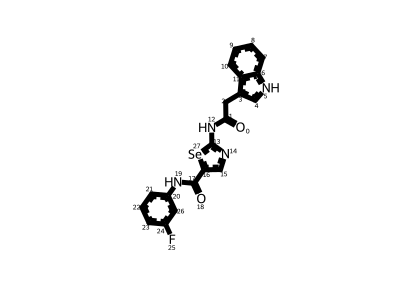 O=C(Cc1c[nH]c2ccccc12)Nc1ncc(C(=O)Nc2cccc(F)c2)[se]1